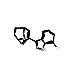 Clc1cccc2c(C3=CC4CCC5C3N5C4)n[nH]c12